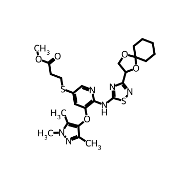 COC(=O)CCSc1cnc(Nc2nc(C3COC4(CCCCC4)O3)ns2)c(Oc2c(C)nn(C)c2C)c1